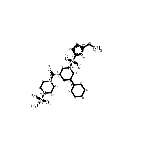 CS(=O)(=O)N1CCN(C(=O)[C@H]2CC(C3CCCCC3)CN(S(=O)(=O)c3ccc(CN)s3)C2)CC1